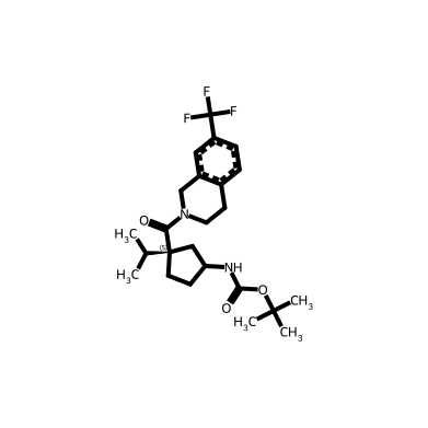 CC(C)[C@]1(C(=O)N2CCc3ccc(C(F)(F)F)cc3C2)CCC(NC(=O)OC(C)(C)C)C1